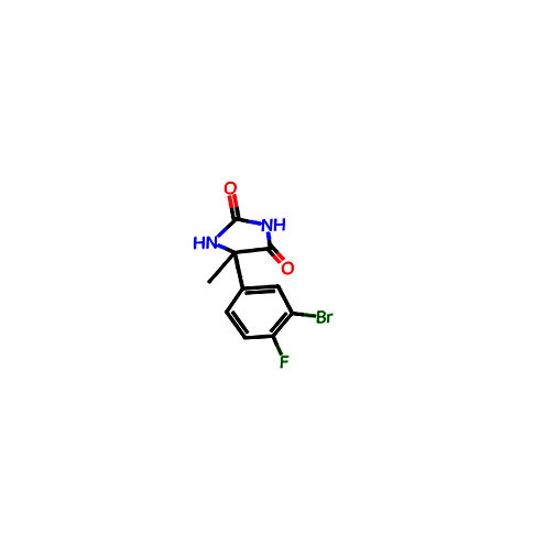 CC1(c2ccc(F)c(Br)c2)NC(=O)NC1=O